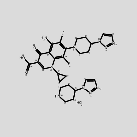 Cl.Nc1c(F)c(N2CCC(n3ccnn3)CC2)c(F)c2c1c(=O)c(C(=O)O)cn2C1CC1.c1cn(C2CCNCC2)nn1